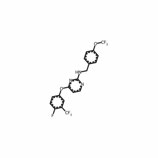 Fc1ccc(Oc2ccnc(NCc3ccc(OC(F)(F)F)cc3)n2)cc1C(F)(F)F